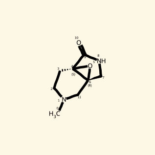 CN1CC[C@]23O[C@]2(CNC3=O)C1